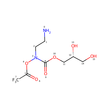 NCCN(OC(=O)C(F)(F)F)C(=O)OC[C@H](O)CO